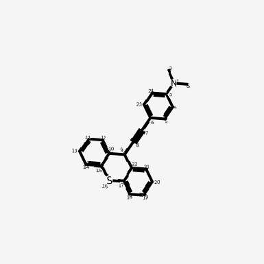 CN(C)c1ccc(C#CC2c3ccccc3Sc3ccccc32)cc1